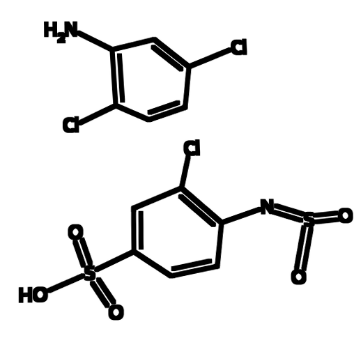 Nc1cc(Cl)ccc1Cl.O=S(=O)=Nc1ccc(S(=O)(=O)O)cc1Cl